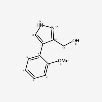 COc1ccccc1-c1c[nH]nc1CO